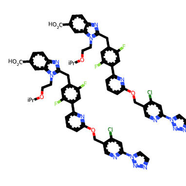 CC(C)OCCn1c(Cc2cc(F)c(-c3cccc(OCc4cnc(-n5ccnn5)cc4Cl)n3)cc2F)nc2ccc(C(=O)O)cc21.CC(C)OCCn1c(Cc2cc(F)c(-c3cccc(OCc4cnc(-n5ccnn5)cc4Cl)n3)cc2F)nc2ccc(C(=O)O)cc21